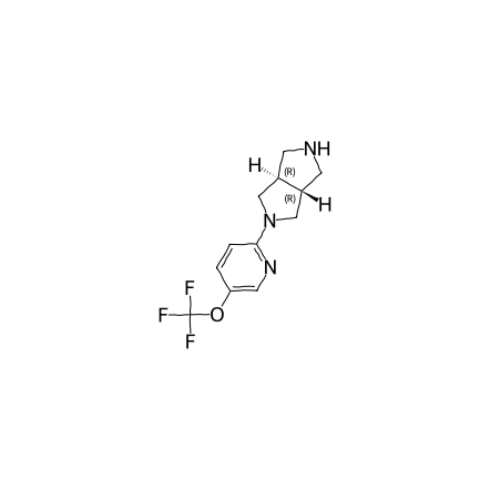 FC(F)(F)Oc1ccc(N2C[C@H]3CNC[C@@H]3C2)nc1